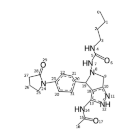 CCCCNC(=O)NN1Cc2n[nH]c(NC(C)=O)c2C1c1ccc(N2CCCC2=O)cc1